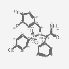 NC(=O)[C@@H](c1ccccc1)N(Cc1ccc(F)c(F)c1)S(=O)(=O)c1ccc(Cl)cc1